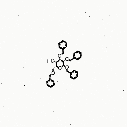 O[C@H]1[C@H](OCc2ccccc2)[C@@H](OCc2ccccc2)C(OCc2ccccc2)O[C@@H]1COCc1ccccc1